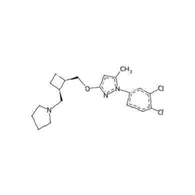 Cc1cc(OC[C@@H]2CC[C@@H]2CN2CCCC2)nn1-c1ccc(Cl)c(Cl)c1